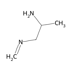 C=NCC(C)N